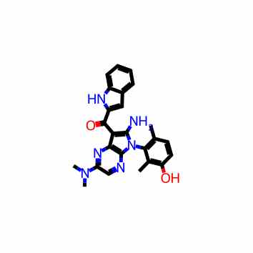 Cc1ccc(O)c(C)c1-n1c(N)c(C(=O)c2cc3ccccc3[nH]2)c2nc(N(C)C)cnc21